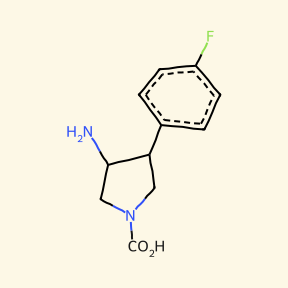 NC1CN(C(=O)O)CC1c1ccc(F)cc1